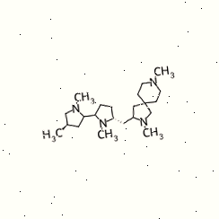 C[C@@H]1CC(C2CC[C@H](CC3CC4(CCN(C)CC4)CN3C)N2C)N(C)C1